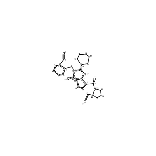 N#Cc1ccccc1Cn1c(N2CCCCC2)nc2c(C(=O)N3CCCC3C=O)csc2c1=O